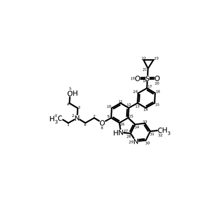 CCN(CCO)CCOc1ccc(-c2cccc(S(=O)(=O)C3CC3)c2)c2c1[nH]c1ncc(C)cc12